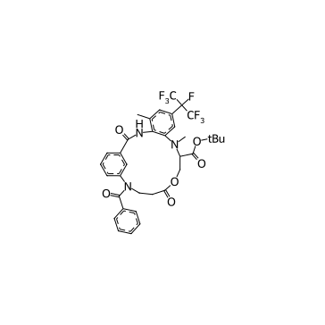 Cc1cc(C(F)(C(F)(F)F)C(F)(F)F)cc2c1NC(=O)c1cccc(c1)N(C(=O)c1ccccc1)CCC(=O)OCC(C(=O)OC(C)(C)C)N2C